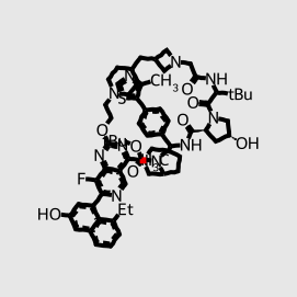 CCc1cccc2cc(O)cc(-c3ncc4c(N5CC6CCC(C5)N6C(=O)OC(C)(C)C)nc(OCCN5CCC(CC6CN(CC(=O)NC(C(=O)N7C[C@H](O)C[C@H]7C(=O)NC(C)c7ccc(-c8scnc8C)cc7)C(C)(C)C)C6)CC5)nc4c3F)c12